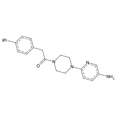 CC(C)c1ccc(CC(=O)N2CCN(c3ccc(N)cn3)CC2)cc1